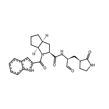 O=C[C@H](C[C@@H]1CCNC1=O)NC(=O)[C@@H]1C[C@@H]2CCC[C@@H]2N1C(=O)c1cc2ccccc2[nH]1